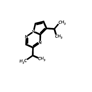 CC(C)c1cnn2ccc(C(C)C)c2n1